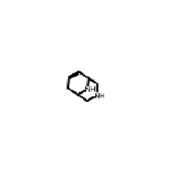 C1=CC2CNCC(C1)N2